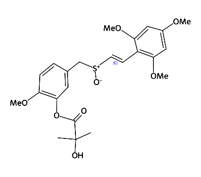 COc1cc(OC)c(/C=C/[S+]([O-])Cc2ccc(OC)c(OC(=O)C(C)(C)O)c2)c(OC)c1